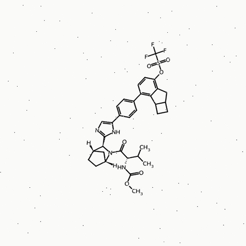 COC(=O)N[C@H](C(=O)N1[C@@H]2CC[C@@H](C2)[C@H]1c1ncc(-c2ccc(-c3ccc(OS(=O)(=O)C(F)(F)F)c4c3C3CCC3C4)cc2)[nH]1)C(C)C